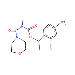 CC(OC(=O)N(C)C(=O)N1CCOCC1)c1ccc([N+](=O)[O-])cc1Cl